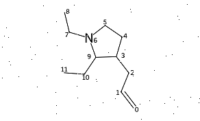 C=CCC1CCN(CC)C1CC